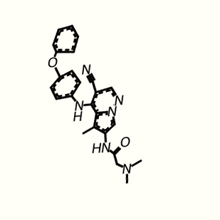 Cc1c(NC(=O)CN(C)C)cn2ncc(C#N)c(Nc3ccc(Oc4ccccc4)cc3)c12